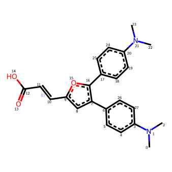 CN(C)c1ccc(-c2cc(/C=C/C(=O)O)oc2-c2ccc(N(C)C)cc2)cc1